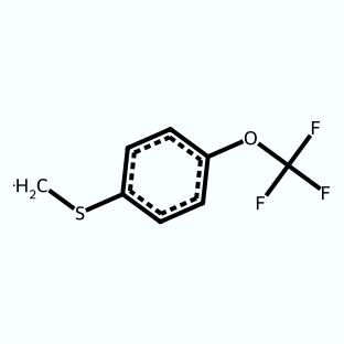 [CH2]Sc1ccc(OC(F)(F)F)cc1